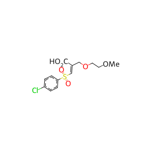 COCCOC/C(=C/S(=O)(=O)c1ccc(Cl)cc1)C(=O)O